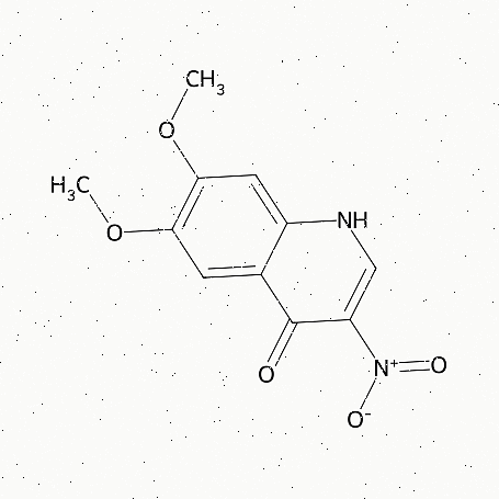 COc1cc2[nH]cc([N+](=O)[O-])c(=O)c2cc1OC